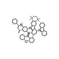 C=C1C=C(c2ccccc2)N(C)c2cc3c(cc21)B1c2c(cc(-n4c5ccccc5c5ccccc54)c4c5cc6c(cc5n-3c24)C(C)(C)CCC6(C)C)-c2cccc3c2N1c1ccccc1O3